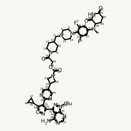 CN(c1cc(F)c(N2CCN(CC3CCN(C(=O)COC(=O)N4CC(c5cnc(-c6c(-c7nn(C(C)(C)C)c8ncnc(N)c78)noc6C6CC6)nc5)C4)CC3)CC2)c(F)c1)C1CCC(=O)NC1=O